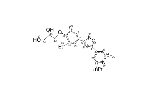 CCCc1cc(-c2nc(-c3cc(C)c(OCC(O)CO)c(CC)c3)no2)cc(C)n1